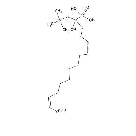 CCCCC/C=C\CCCCCC/C=C\CCC(O)(C[N+](C)(C)C)P(=O)(O)O